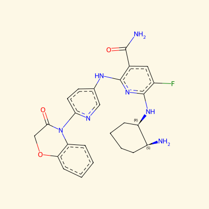 NC(=O)c1cc(F)c(N[C@@H]2CCCC[C@@H]2N)nc1Nc1ccc(N2C(=O)COc3ccccc32)nc1